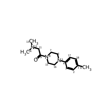 Cc1ccc(N2CCN(C(=O)CN(C)C)CC2)cc1